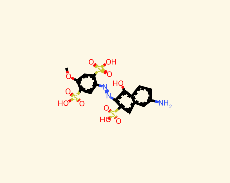 COc1cc(S(=O)(=O)O)c(N=Nc2c(S(=O)(=O)O)cc3cc(N)ccc3c2O)cc1S(=O)(=O)O